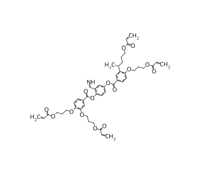 C=CC(=O)OCCCOc1ccc(C(=O)Oc2ccc(OC(=O)c3ccc(OCCCOC(=O)C=C)c(C(C)CCCOC(=O)C=C)c3)cc2C=N)cc1OCCCOC(=O)C=C